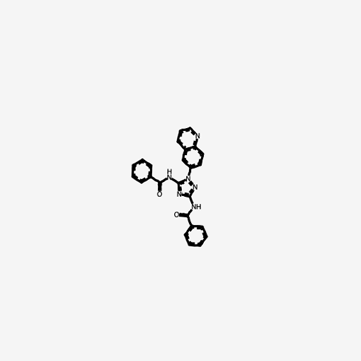 O=C(Nc1nc(NC(=O)c2ccccc2)n(-c2ccc3ncccc3c2)n1)c1ccccc1